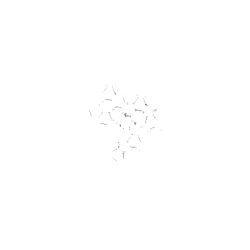 CC1C=Cc2ccc(-c3nc(-c4cccc5c4oc4ccccc45)nc(-c4c(-c5ccc6ccccc6c5)ccc5oc6ccccc6c45)n3)cc2C1